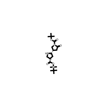 CC(C)(C)OC(=O)N1CC([C@@H]2C[C@@H](C(=O)O[Si](C)(C)C(C)(C)C)CN2)CC1=O